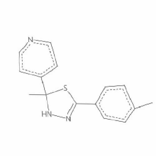 Cc1ccc(C2=NNC(C)(c3ccncc3)S2)cc1